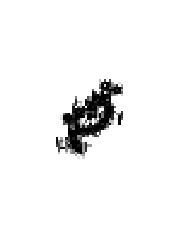 CCC(=O)N[C@H]1C[C@@H](n2cnc3c(NCC(c4ccccc4)c4ccccc4)nc(N4CC[C@@H](NC(=O)Nc5ccc(C(=O)N[C@H]6CCN(c7nc(NCC(c8ccccc8)c8ccccc8)c8ncn([C@@H]9C[C@H](NC(=O)CC)[C@@H](O)[C@H]9O)c8n7)C6)cc5)C4)nc32)[C@H](O)[C@@H]1O